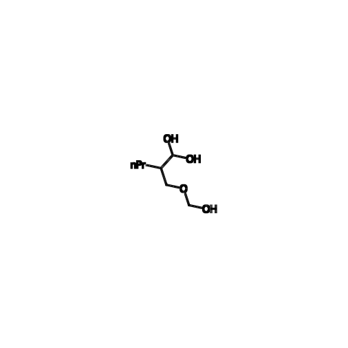 CCCC(COCO)C(O)O